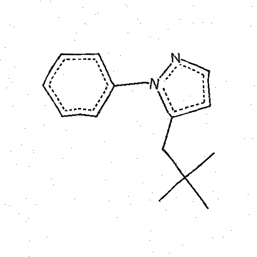 CC(C)(C)Cc1ccnn1-c1ccccc1